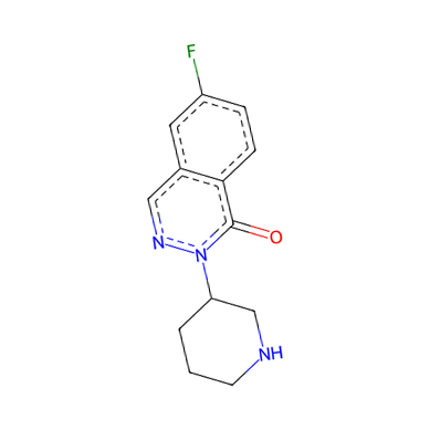 O=c1c2ccc(F)cc2cnn1C1CCCNC1